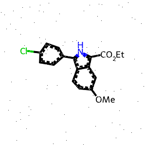 CCOC(=O)c1[nH]c(-c2ccc(Cl)cc2)c2ccc(OC)cc12